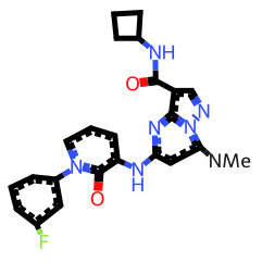 CNc1cc(Nc2cccn(-c3cccc(F)c3)c2=O)nc2c(C(=O)NC3CCC3)cnn12